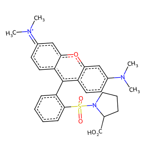 CN(C)c1ccc2c(-c3ccccc3S(=O)(=O)N3CCCC3C(=O)O)c3ccc(=[N+](C)C)cc-3oc2c1